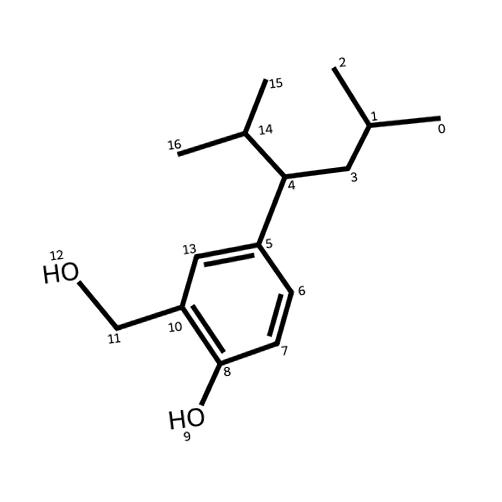 CC(C)CC(c1ccc(O)c(CO)c1)C(C)C